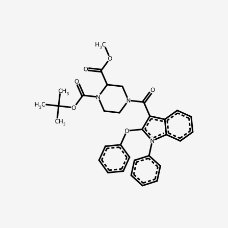 COC(=O)C1CN(C(=O)c2c(Oc3ccccc3)n(-c3ccccc3)c3ccccc23)CCN1C(=O)OC(C)(C)C